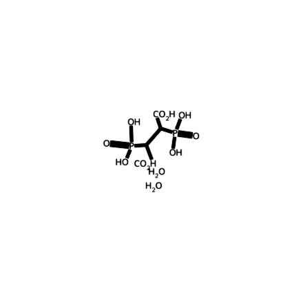 O.O.O=C(O)C(C(C(=O)O)P(=O)(O)O)P(=O)(O)O